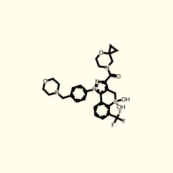 O=C(c1nn(-c2ccc(CN3CCOCC3)cc2)c2c1CS(O)(O)c1c-2cccc1C(F)(F)F)N1CCOC2(CC2)C1